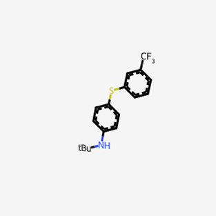 CC(C)(C)Nc1ccc(Sc2cccc(C(F)(F)F)c2)cc1